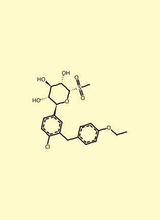 CCOc1ccc(Cc2cc([C@@H]3O[C@@H](S(C)(=O)=O)[C@@H](O)[C@H](O)[C@H]3O)ccc2Cl)cc1